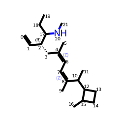 C=C[C@@H](C/C(C)=C\C=C(\C)C(C)C1CCC1C)C(CC)NC